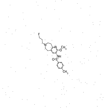 COc1nc2c(cc1N[S+]([O-])c1ccc(C)cc1)CCN(CCCF)CC2